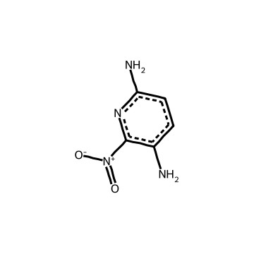 Nc1ccc(N)c([N+](=O)[O-])n1